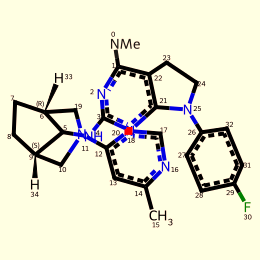 CNc1nc(NC2[C@@H]3CC[C@H]2CN(c2cc(C)ncn2)C3)nc2c1CCN2c1ccc(F)cc1